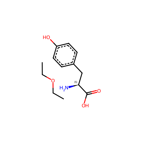 CCOCC.N[C@@H](Cc1ccc(O)cc1)C(=O)O